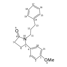 COc1ccc(C2CCC(=O)N2CCCc2ccccc2)cc1